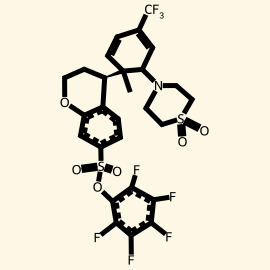 CC1([C@@H]2CCOc3cc(S(=O)(=O)Oc4c(F)c(F)c(F)c(F)c4F)ccc32)C=CC(C(F)(F)F)=CC1N1CCS(=O)(=O)CC1